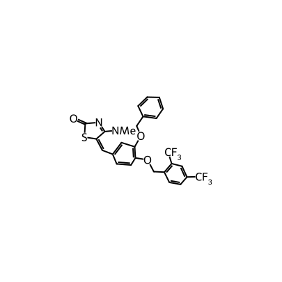 CNC1=NC(=O)SC1=Cc1ccc(OCc2ccc(C(F)(F)F)cc2C(F)(F)F)c(OCc2ccccc2)c1